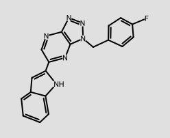 Fc1ccc(Cn2nnc3ncc(-c4cc5ccccc5[nH]4)nc32)cc1